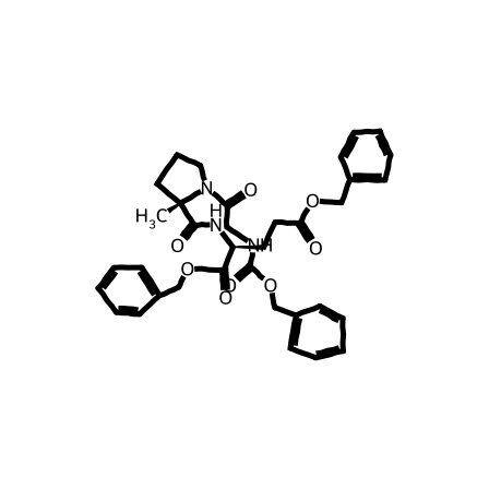 C[C@@]1(C(=O)N[C@@H](CCC(=O)OCc2ccccc2)C(=O)OCc2ccccc2)CCCN1C(=O)CNC(=O)OCc1ccccc1